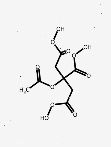 CC(=O)OC(CC(=O)OO)(CC(=O)OO)C(=O)OO